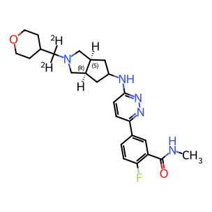 [2H]C([2H])(C1CCOCC1)N1C[C@H]2CC(Nc3ccc(-c4ccc(F)c(C(=O)NC)c4)nn3)C[C@H]2C1